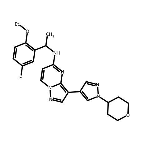 CCOc1ccc(F)cc1C(C)Nc1ccn2ncc(-c3cnn(C4CCOCC4)c3)c2n1